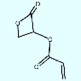 C=CC(=O)OC1COC1=O